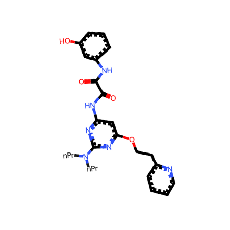 CCCN(CCC)c1nc(NC(=O)C(=O)Nc2cccc(O)c2)cc(OCCc2ccccn2)n1